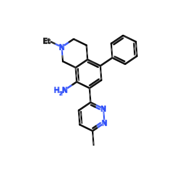 CCN1CCc2c(-c3ccccc3)cc(-c3ccc(C)nn3)c(N)c2C1